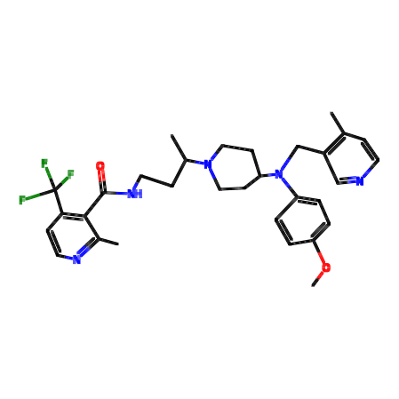 COc1ccc(N(Cc2cnccc2C)C2CCN(C(C)CCNC(=O)c3c(C(F)(F)F)ccnc3C)CC2)cc1